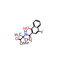 COC(=O)C(C)(C)NC(=O)c1cc(F)c2ccccc2c1O